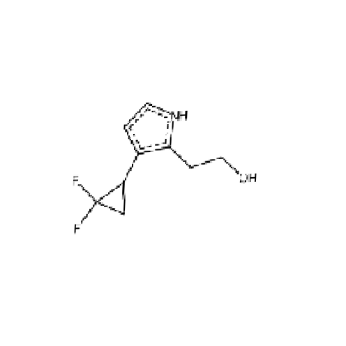 OCCc1[nH]ccc1C1CC1(F)F